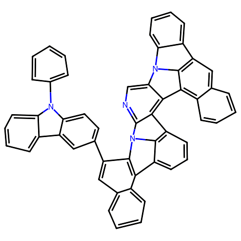 c1ccc(-n2c3ccccc3c3cc(-c4cc5ccccc5c5c6cccc7c8c9c%10c%11ccccc%11cc%11c%12ccccc%12n(c9cnc8n(c45)c76)c%11%10)ccc32)cc1